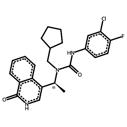 C[C@@H](c1c[nH]c(=O)c2ccccc12)N(CC1CCCC1)C(=O)Nc1ccc(F)c(Cl)c1